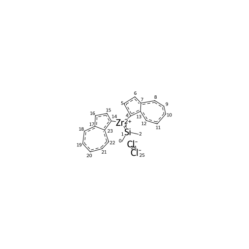 C[Si](C)=[Zr+2]([c]1ccc2cccccc1-2)[c]1ccc2cccccc1-2.[Cl-].[Cl-]